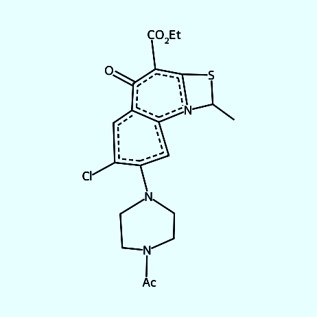 CCOC(=O)c1c2n(c3cc(N4CCN(C(C)=O)CC4)c(Cl)cc3c1=O)C(C)S2